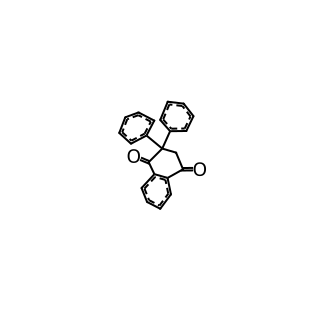 O=C1CC(c2ccccc2)(c2ccccc2)C(=O)c2ccccc21